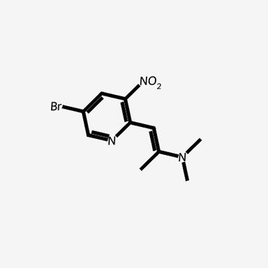 C/C(=C\c1ncc(Br)cc1[N+](=O)[O-])N(C)C